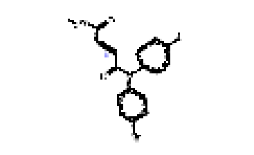 NC(=O)/C=C/C(=O)N(c1ccc(Br)cc1)c1ccc(Br)cc1